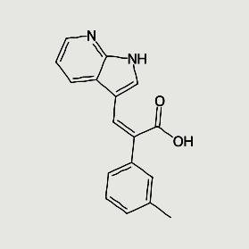 Cc1cccc(C(=Cc2c[nH]c3ncccc23)C(=O)O)c1